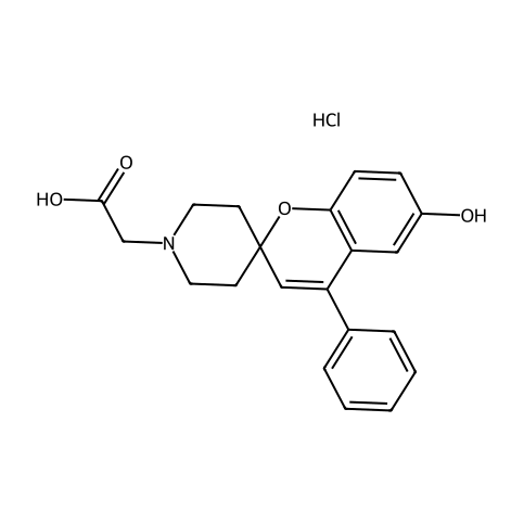 Cl.O=C(O)CN1CCC2(C=C(c3ccccc3)c3cc(O)ccc3O2)CC1